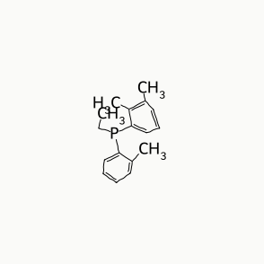 CCP(c1ccccc1C)c1cccc(C)c1C